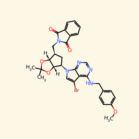 COc1ccc(CNc2ncnc3c2c(Br)cn3[C@@H]2C[C@H](CN3C(=O)c4ccccc4C3=O)[C@H]3OC(C)(C)O[C@H]32)cc1